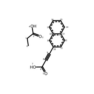 CCC(=O)O.O=C(O)C#Cc1ccc2ccccc2c1